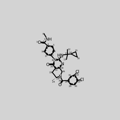 CNC(=O)c1ccc(-n2c(NC(C)(C)C3CC3)nc3c(c2=O)C[C@@H](C)N(C(=O)c2ccc(Cl)c(Cl)c2)C3)cc1